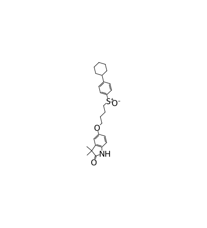 CC1(C)C(=O)Nc2ccc(OCCCC[S+]([O-])c3ccc(C4CCCCC4)cc3)cc21